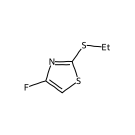 [CH2]CSc1nc(F)cs1